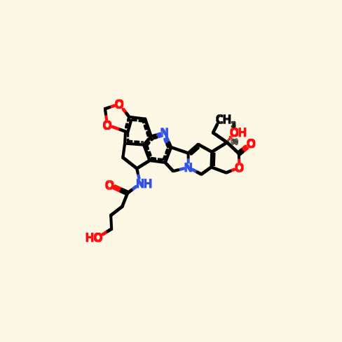 CC[C@@]1(O)C(=O)OCC2=C1C=C1c3nc4cc5c(c6c4c(c3CN1C2)C(NC(=O)CCCO)C6)OCO5